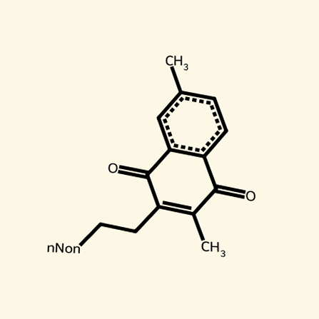 CCCCCCCCCCCC1=C(C)C(=O)c2ccc(C)cc2C1=O